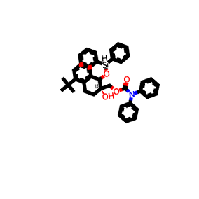 CC(C)(C)c1cccc2c1CC[C@](O)(COC(=O)N(c1ccccc1)c1ccccc1)C2O[SiH](c1ccccc1)c1ccccc1